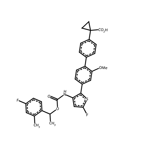 COc1cc(-c2sc(F)cc2NC(=O)OC(C)c2ccc(F)cc2C)ccc1-c1ccc(C2(C(=O)O)CC2)cc1